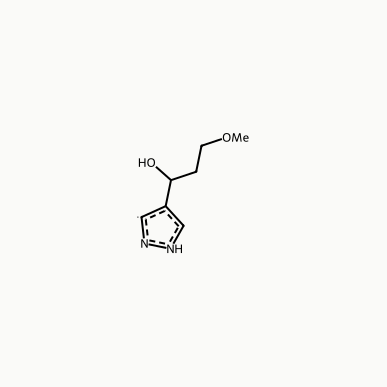 COCCC(O)c1[c]n[nH]c1